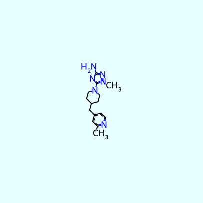 Cc1cc(CC2CCN(c3nc(N)nn3C)CC2)ccn1